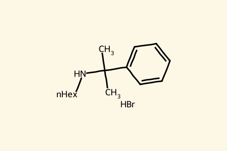 Br.CCCCCCNC(C)(C)c1ccccc1